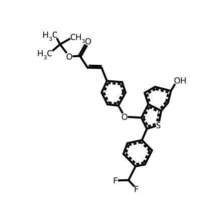 CC(C)(C)OC(=O)C=Cc1ccc(Oc2c(-c3ccc(C(F)F)cc3)sc3cc(O)ccc23)cc1